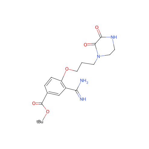 CC(C)(C)OC(=O)c1ccc(OCCCN2CCNC(=O)C2=O)c(C(=N)N)c1